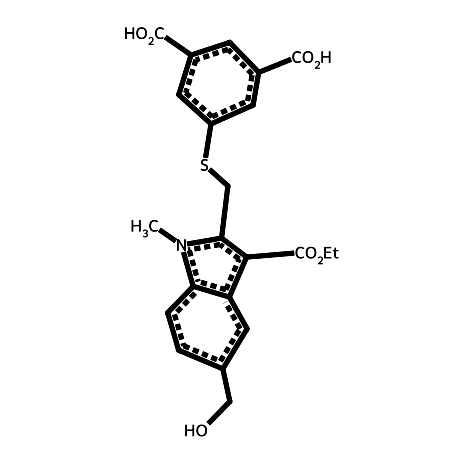 CCOC(=O)c1c(CSc2cc(C(=O)O)cc(C(=O)O)c2)n(C)c2ccc(CO)cc12